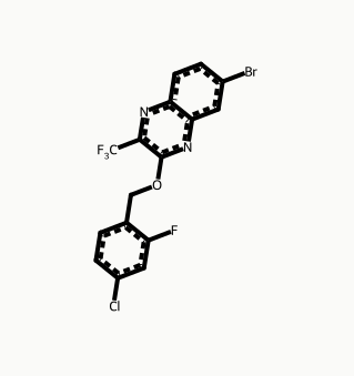 Fc1cc(Cl)ccc1COc1nc2cc(Br)ccc2nc1C(F)(F)F